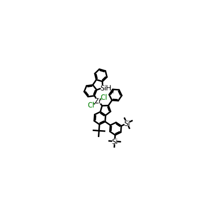 CC(C)(C)c1ccc2c(c1-c1cc([Si](C)(C)C)cc([Si](C)(C)C)c1)C=C(c1ccccc1)[CH]2[Zr]([Cl])([Cl])[c]1cccc2c1[SiH2]c1ccccc1-2